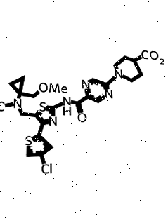 COCC1(N(C)Cc2sc(NC(=O)c3cnc(N4CCC(C(=O)O)CC4)cn3)nc2-c2cc(Cl)cs2)CC1